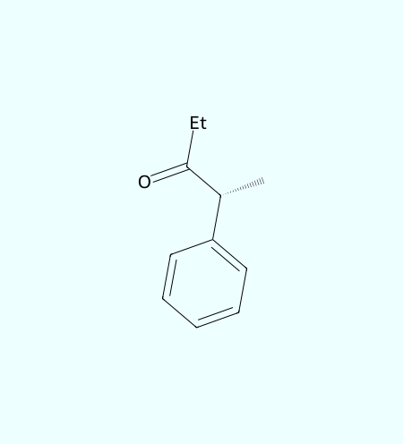 CCC(=O)[C@H](C)c1ccccc1